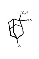 NC1(C(=O)O)C2CC3CC1CC(C(F)(F)F)(C3)C2